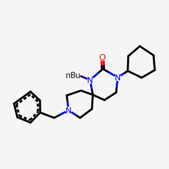 CCCCN1C(=O)N(C2CCCCC2)CCC12CCN(Cc1ccccc1)CC2